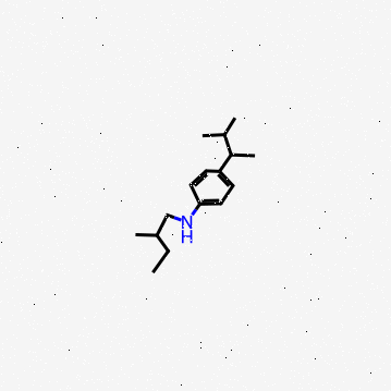 CCC(C)CNc1ccc(C(C)C(C)C)cc1